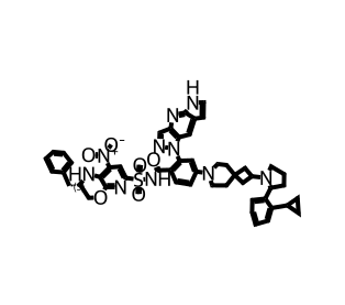 O=C(NS(=O)(=O)c1cc([N+](=O)[O-])c2c(n1)OC[C@H](Cc1ccccc1)N2)c1ccc(N2CCC3(CC2)CC(N2CCCC2c2ccccc2C2CC2)C3)cc1-n1ncc2nc3[nH]ccc3cc21